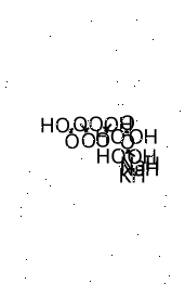 O=C(O)O.O=C(O)O.O=C(O)OC(=O)OC(=O)O.[KH].[NaH].[NaH]